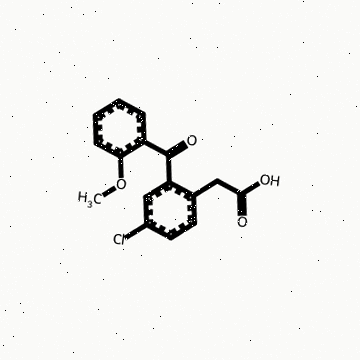 COc1ccccc1C(=O)c1cc(Cl)ccc1CC(=O)O